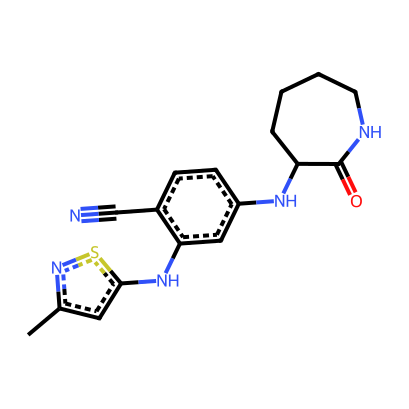 Cc1cc(Nc2cc(NC3CCCCNC3=O)ccc2C#N)sn1